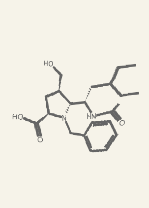 CCC(CC)C[C@H](NC(C)=O)[C@H]1[C@H](CO)C[C@H](C(=O)O)N1Cc1ccccc1